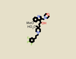 COc1ccc2ncc(CN3CCOCC3)c([C@@H](O)CCC3(CC(=O)O)CCN(CCCc4cc(F)c(F)c(F)c4)CC3)c2c1